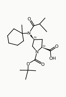 CC(C)C(=O)N([C@H]1C[C@@H](C(=O)O)N(C(=O)OC(C)(C)C)C1)C1(C)CCCCC1